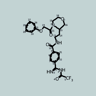 N=C(NC(=O)C(F)(F)F)c1ccc(C(=O)NCCC2COCCN2C(=O)COc2ccccc2)cc1